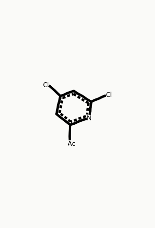 CC(=O)c1cc(Cl)cc(Cl)n1